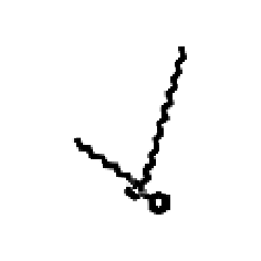 CCCCCCCCCCCCCCCCCCC1N(CCCCCCCCC)C=CN1c1ccccc1